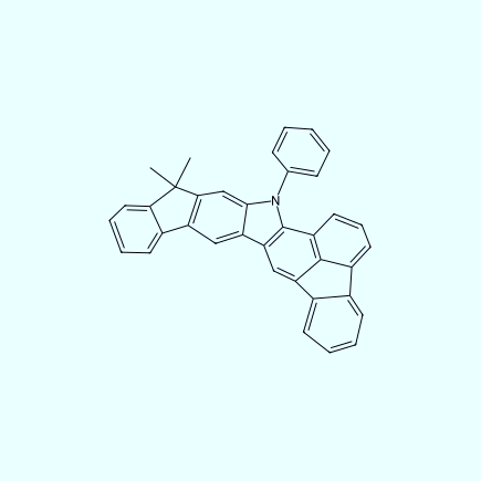 CC1(C)c2ccccc2-c2cc3c4cc5c6c(cccc6c4n(-c4ccccc4)c3cc21)-c1ccccc1-5